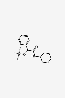 CS(=O)(=O)OC(C(=O)NC1CCCCC1)c1ccccc1